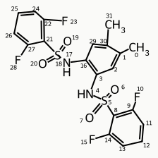 Cc1cc(NS(=O)(=O)c2c(F)cccc2F)c(NS(=O)(=O)c2c(F)cccc2F)cc1C